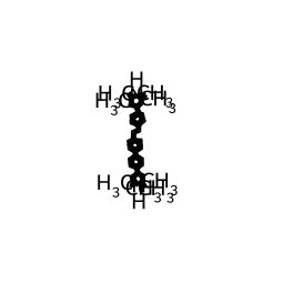 CC1(C)CC(c2ccc(CCc3ccc(-c4ccc(C5CC(C)(C)NC(C)(C)C5)cc4)cc3)cc2)CC(C)(C)N1